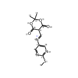 CSc1ncc(/N=C/C2C(=O)OC(C)(C)OC2=O)cn1